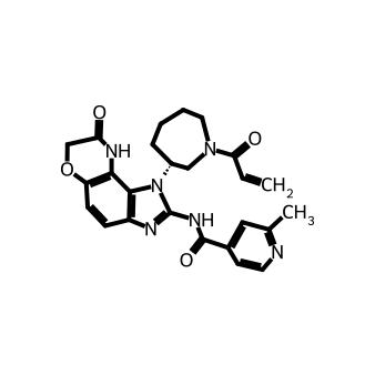 C=CC(=O)N1CCCC[C@@H](n2c(NC(=O)c3ccnc(C)c3)nc3ccc4c(c32)NC(=O)CO4)C1